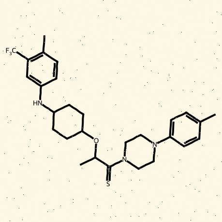 Cc1ccc(N2CCN(C(=S)C(C)OC3CCC(Nc4ccc(C)c(C(F)(F)F)c4)CC3)CC2)cc1